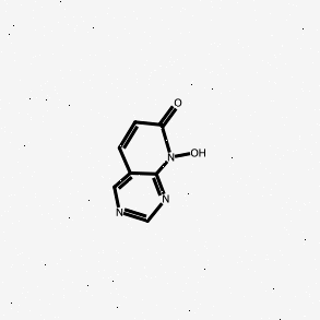 O=c1ccc2cncnc2n1O